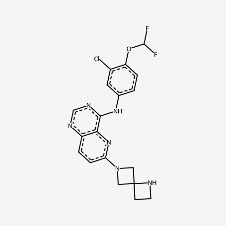 FC(F)Oc1ccc(Nc2ncnc3ccc(N4CC5(CCN5)C4)nc23)cc1Cl